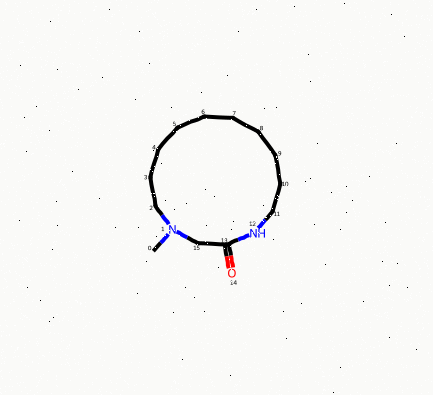 CN1CCCCCCCCCCNC(=O)C1